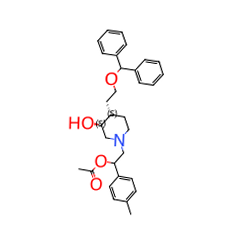 CC(=O)OC(CN1CC[C@@H](CCOC(c2ccccc2)c2ccccc2)[C@H](O)C1)c1ccc(C)cc1